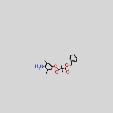 Cc1cc(OC(=O)C(C)(C)C(=O)OCc2ccccc2)cc(C)c1N